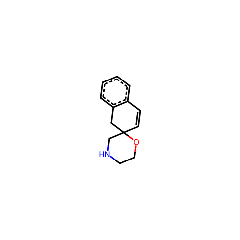 C1=CC2(CNCCO2)Cc2ccccc21